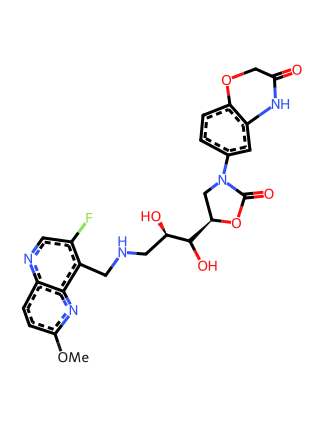 COc1ccc2ncc(F)c(CNC[C@@H](O)C(O)[C@H]3CN(c4ccc5c(c4)NC(=O)CO5)C(=O)O3)c2n1